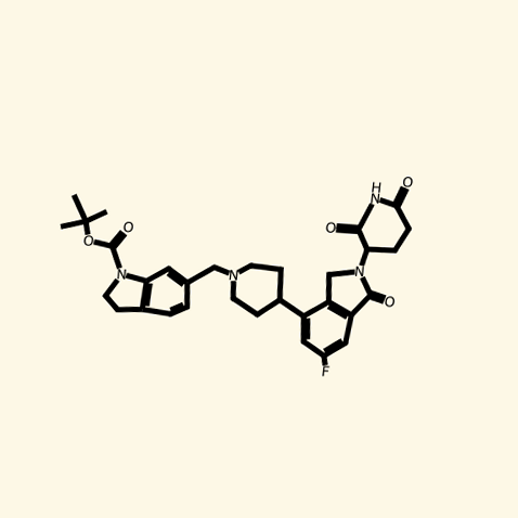 CC(C)(C)OC(=O)N1CCc2ccc(CN3CCC(c4cc(F)cc5c4CN(C4CCC(=O)NC4=O)C5=O)CC3)cc21